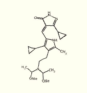 COC(C)N(CCc1c(C)[nH]c(C=C2C(=O)NN=C2C2CC2)c1C1CC1)C(C)OC